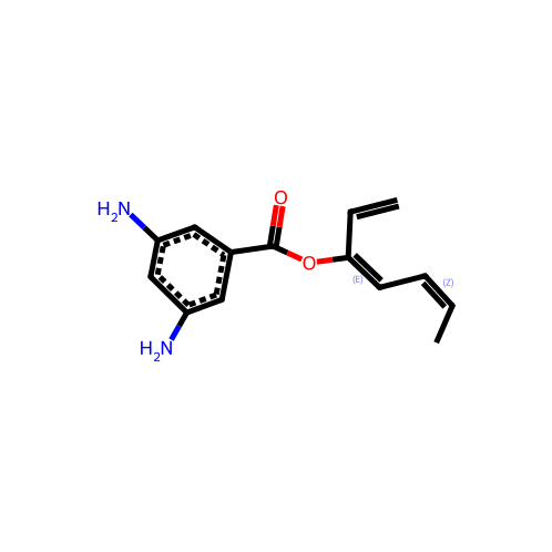 C=C/C(=C\C=C/C)OC(=O)c1cc(N)cc(N)c1